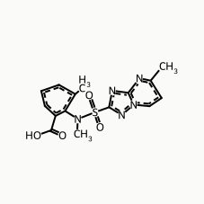 Cc1ccn2nc(S(=O)(=O)N(C)c3c(C)cccc3C(=O)O)nc2n1